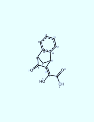 O=C(O)/C(O)=C1/C(=O)C2CC1c1ccccc12